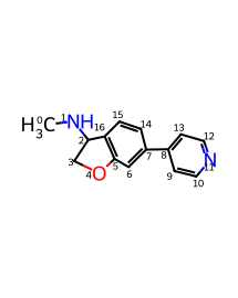 CNC1COc2cc(-c3ccncc3)ccc21